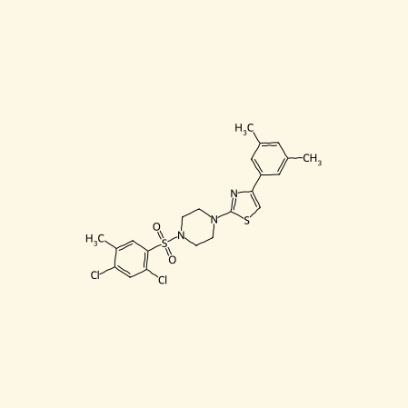 Cc1cc(C)cc(-c2csc(N3CCN(S(=O)(=O)c4cc(C)c(Cl)cc4Cl)CC3)n2)c1